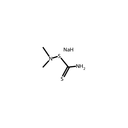 CN(C)SC(N)=S.[NaH]